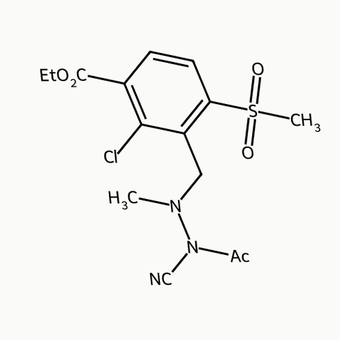 CCOC(=O)c1ccc(S(C)(=O)=O)c(CN(C)N(C#N)C(C)=O)c1Cl